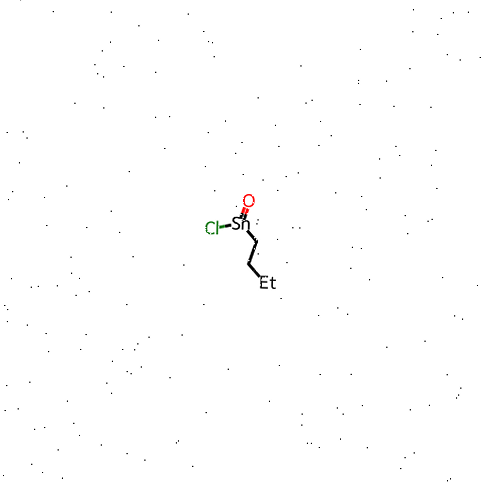 CCC[CH2][Sn](=[O])[Cl]